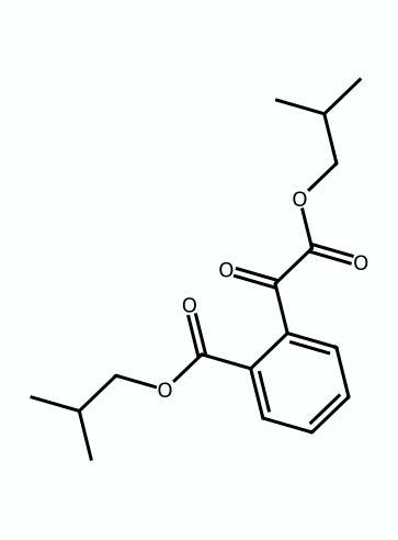 CC(C)COC(=O)C(=O)c1ccccc1C(=O)OCC(C)C